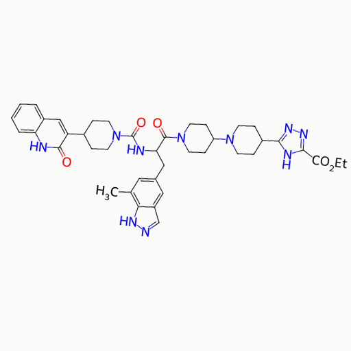 CCOC(=O)c1nnc(C2CCN(C3CCN(C(=O)C(Cc4cc(C)c5[nH]ncc5c4)NC(=O)N4CCC(c5cc6ccccc6[nH]c5=O)CC4)CC3)CC2)[nH]1